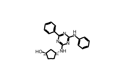 O[C@@H]1CC[C@@H](Nc2nc(Nc3ccccc3)nc(-c3ccccc3)n2)C1